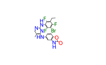 CCc1c(F)c(Br)c(F)c(Nc2ncc(C)c(Nc3ccc4oc(=O)[nH]c4c3)n2)c1F